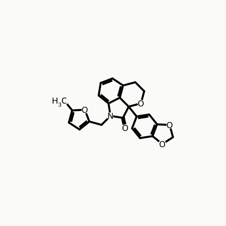 Cc1ccc(CN2C(=O)C3(c4ccc5c(c4)OCO5)OCCc4cccc2c43)o1